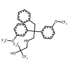 OC(CNCC(Cc1ccccc1)(c1cccc(OC(F)(F)F)c1)c1cccc(OC(F)(F)F)c1)(C(F)(F)F)C(F)(F)F